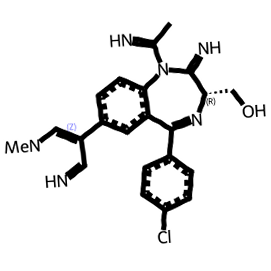 CN/C=C(\C=N)c1ccc2c(c1)C(c1ccc(Cl)cc1)=N[C@@H](CO)C(=N)N2C(C)=N